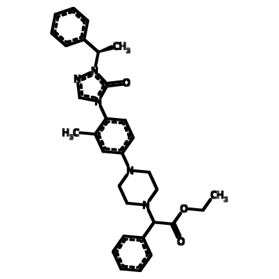 CCOC(=O)C(c1ccccc1)N1CCN(c2ccc(-n3cnn([C@H](C)c4ccccc4)c3=O)c(C)c2)CC1